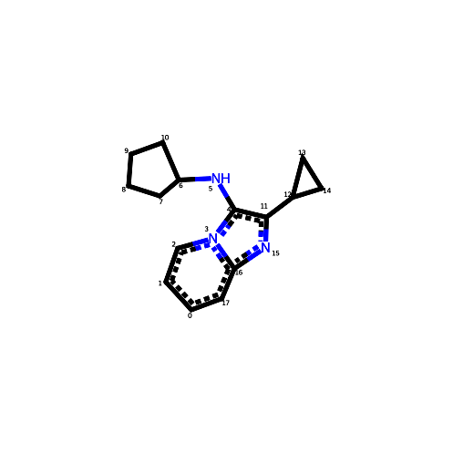 c1ccn2c(NC3CCCC3)c(C3CC3)nc2c1